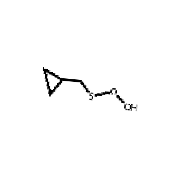 OOSCC1CC1